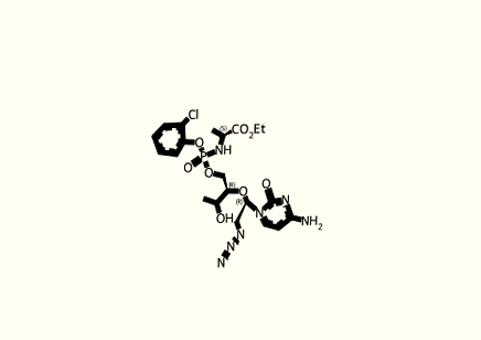 CCOC(=O)[C@H](C)NP(=O)(OC[C@@H](O[C@H](CN=[N+]=[N-])n1ccc(N)nc1=O)C(C)O)Oc1ccccc1Cl